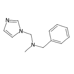 CN(Cc1ccccc1)Cn1ccnc1